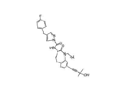 [2H]CN1C(=O)C(NC(=O)n2cc(Cc3ccc(F)cc3)cn2)CCc2ccc(C#CC(C)(C)O)cc21